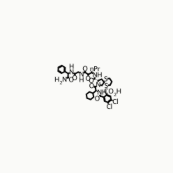 CCCC(NC(=O)[C@@H]1CC2(CN1C(=O)[C@@H](NC(=O)c1cc(Cl)c(Cl)cc1C(=O)O)C1CCCCC1)SCCCS2)C(=O)C(=O)NCC(=O)NC(C(N)=O)c1ccccc1